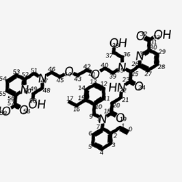 C=Cc1ccccc1N(Cc1ccccc1CC)C(=O)CCNC(=O)C(c1cccc(C(=O)O)n1)N(CCO)CCOCCOCCN(CCO)Cc1cccc(C(=O)O)n1